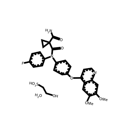 COc1cc2nccc(Oc3ccc(N(C(=O)C4(C(N)=O)CC4)c4ccc(F)cc4)cc3)c2cc1OC.O.O=S(=O)(O)CCO